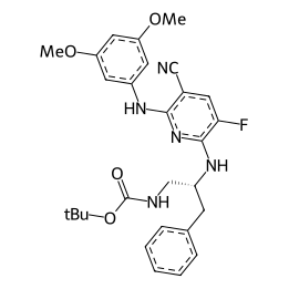 COc1cc(Nc2nc(N[C@@H](CNC(=O)OC(C)(C)C)Cc3ccccc3)c(F)cc2C#N)cc(OC)c1